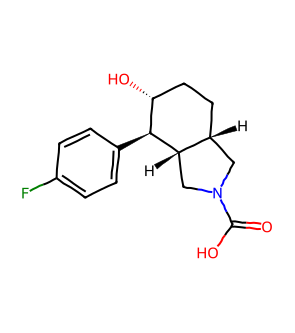 O=C(O)N1C[C@H]2CC[C@@H](O)[C@H](c3ccc(F)cc3)[C@H]2C1